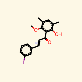 COc1c(C)cc(C)c(O)c1C(=O)/C=C/c1cccc(I)c1